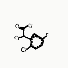 O=C(Cl)C(Cl)c1cc(F)ccc1Cl